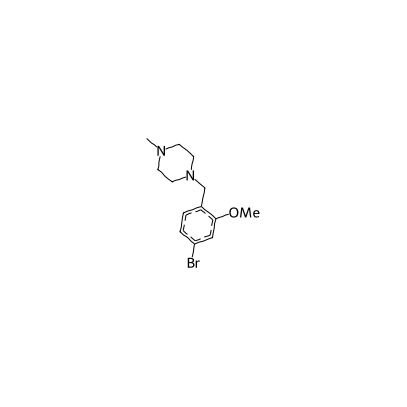 COc1cc(Br)ccc1CN1CCN(C)CC1